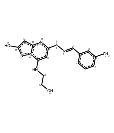 Cc1cccc(/C=N/Nc2cc(NCCO)n3nc(O)cc3n2)c1